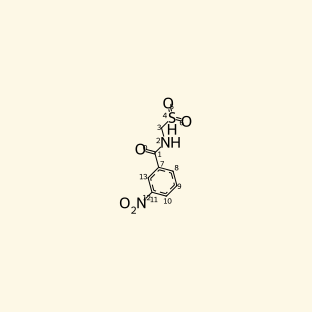 O=C(NC[SH](=O)=O)c1cccc([N+](=O)[O-])c1